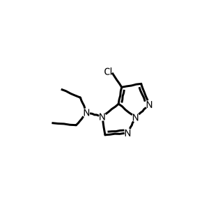 CCN(CC)n1cnn2ncc(Cl)c12